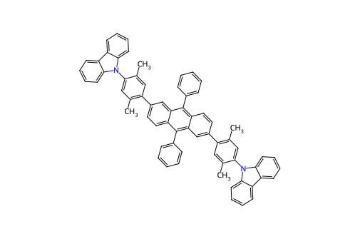 Cc1cc(-n2c3ccccc3c3ccccc32)c(C)cc1-c1ccc2c(-c3ccccc3)c3cc(-c4cc(C)c(-n5c6ccccc6c6ccccc65)cc4C)ccc3c(-c3ccccc3)c2c1